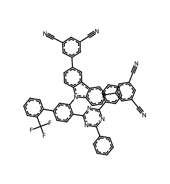 N#Cc1cc(C#N)cc(-c2ccc3c(c2)c2cc(-c4cc(C#N)cc(C#N)c4)ccc2n3-c2cc(-c3ccccc3C(F)(F)F)ccc2-c2nc(-c3ccccc3)nc(-c3ccccc3)n2)c1